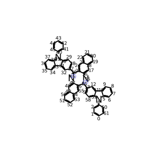 c1ccc(-n2c3ccccc3c3cc(/C4=N/c5cc6ccccc6cc5/C(c5ccc6c(c5)c5ccccc5n6-c5ccccc5)=N\c5cc6ccccc6cc54)ccc32)cc1